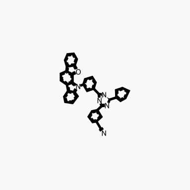 N#Cc1cccc(C2=NC(c3ccccc3)[N@@]3C(c4cccc(-n5c6ccccc6c6ccc7c8ccccc8oc7c65)c4)N23)c1